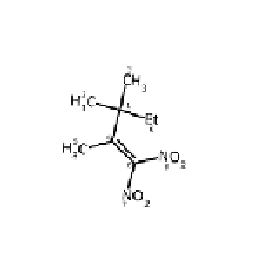 CCC(C)(C)C(C)=C([N+](=O)[O-])[N+](=O)[O-]